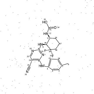 Cc1ccc(Nc2nc(N[C@H]3[C@@H](NC(=O)O)CCCC3(F)F)ncc2C#N)cc1